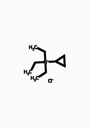 CC[N+](CC)(CC)C1CC1.[Cl-]